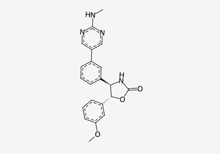 CNc1ncc(-c2cccc([C@H]3NC(=O)O[C@@H]3c3cccc(OC)c3)c2)cn1